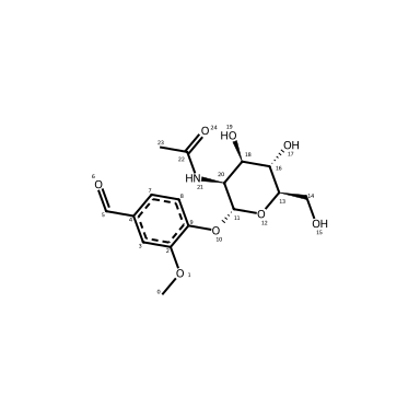 COc1cc(C=O)ccc1O[C@H]1O[C@H](CO)[C@@H](O)[C@H](O)[C@@H]1NC(C)=O